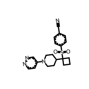 N#Cc1ccc(S(=O)(=O)C2(C3CCN(c4ccnnc4)CC3)CCC2)cc1